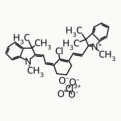 CN1/C(=C\C=C2\CCCC(/C=C/C3=[N+](C)c4ccccc4C3(C)C)=C2Cl)C(C)(C)c2ccccc21.[O-][Cl+3]([O-])([O-])[O-]